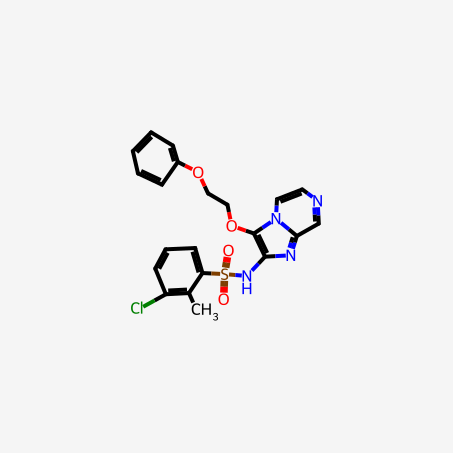 Cc1c(Cl)cccc1S(=O)(=O)Nc1nc2cnccn2c1OCCOc1ccccc1